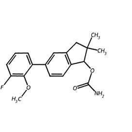 COc1c(F)cccc1-c1ccc2c(c1)CC(C)(C)C2OC(N)=O